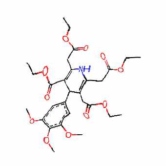 CCOC(=O)CC1=C(C(=O)OCC)C(c2cc(OC)c(OC)c(OC)c2)C(C(=O)OCC)=C(CC(=O)OCC)N1